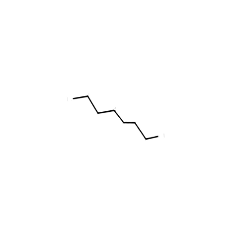 CCCC[CH]CCS